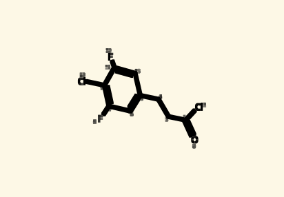 O=C(Cl)CCc1cc(F)c(Cl)c(F)c1